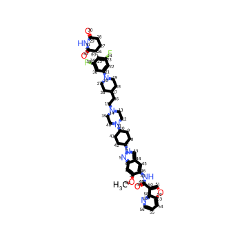 COc1cc2nn(C3CCC(N4CCN(CCC5CCN(c6cc(F)c([C@H]7CCC(=O)NC7=O)c(F)c6)CC5)CC4)CC3)cc2cc1NC(=O)c1coc2cccnc12